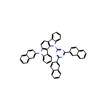 c1ccc2cc(-c3nc(-c4ccc5ccccc5c4)nc(-n4c5ccccc5c5ccc6c(c7ccccc7n6-c6ccc7ccccc7c6)c54)n3)ccc2c1